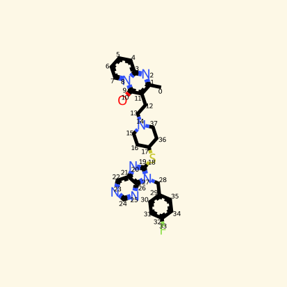 Cc1nc2ccccn2c(=O)c1CCN1CCC(Sc2nc3cncnc3n2Cc2ccc(F)cc2)CC1